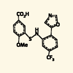 COc1ccc(C(=O)O)cc1SNc1cc(C(F)(F)F)ccc1-c1cnco1